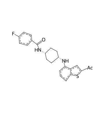 CC(=O)c1cc2c(N[C@H]3CC[C@@H](NC(=O)c4ccc(F)cc4)CC3)cccc2s1